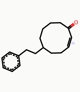 O=C1/C=C\CCC(CCc2ccccc2)CCCC1